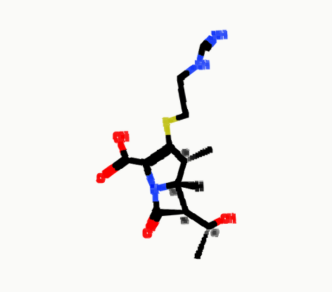 C[C@@H](O)[C@H]1C(=O)N2C(C(=O)O)=C(SCCNC=N)[C@H](C)[C@H]12